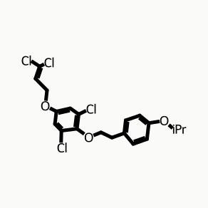 CC(C)Oc1ccc(CCOc2c(Cl)cc(OCC=C(Cl)Cl)cc2Cl)cc1